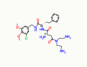 COc1cc(CNC(=O)[C@H](CCc2ccccc2)NC(=O)[C@@H](N)CC(=O)N(CCN)CCN)cc(Cl)c1OC